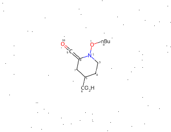 CCCCON1CCC(C(=O)O)CC1=C=O